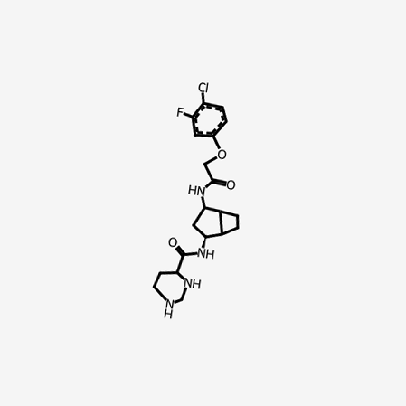 O=C(COc1ccc(Cl)c(F)c1)NC1C[C@H](NC(=O)C2CCNCN2)C2CCC12